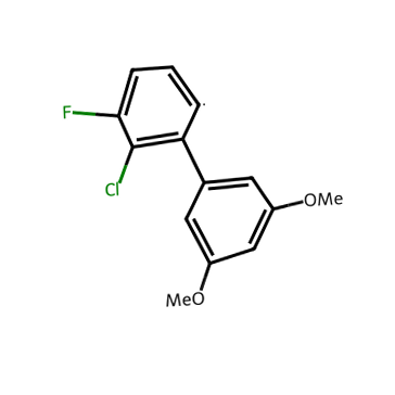 COc1cc(OC)cc(-c2[c]ccc(F)c2Cl)c1